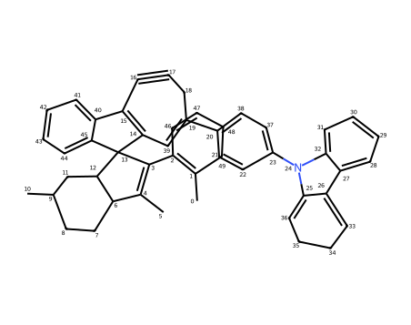 CC1=C(C2=C(C)C3CCC(C)CC3C23C2=C(C#CCC(c4ccc(-n5c6c(c7ccccc75)=CCCC=6)cc4)=C2)c2ccccc23)C=CCC1